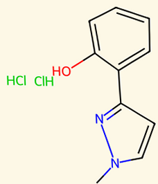 Cl.Cl.Cn1ccc(-c2ccccc2O)n1